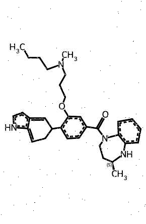 CCCCN(C)CCCOc1cc(C(=O)N2CC[C@H](C)Nc3ccccc32)ccc1C1C=c2cc[nH]c2=CC1